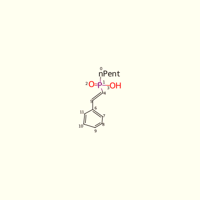 CCCCCP(=O)(O)C=Cc1ccccc1